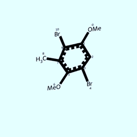 COc1cc(Br)c(OC)c(C)c1Br